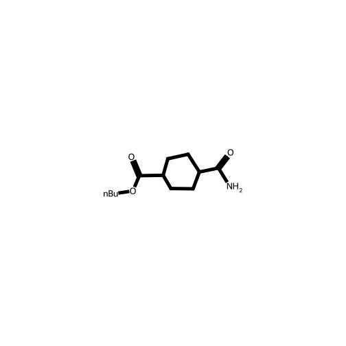 CCCCOC(=O)C1CCC(C(N)=O)CC1